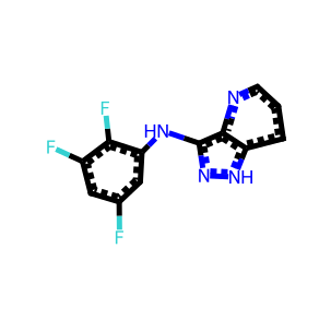 Fc1cc(F)c(F)c(Nc2n[nH]c3cccnc23)c1